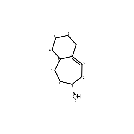 O[C@H]1CC=C2CCCCC2CC1